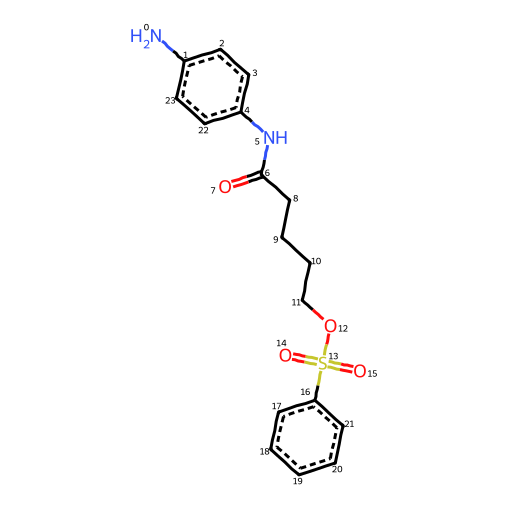 Nc1ccc(NC(=O)CCCCOS(=O)(=O)c2ccccc2)cc1